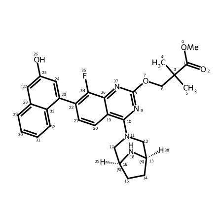 COC(=O)C(C)(C)COc1nc(N2C[C@H]3CC[C@@H](C2)N3)c2ccc(-c3cc(O)cc4ccccc34)c(F)c2n1